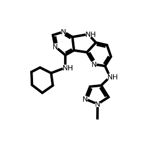 Cn1cc(Nc2ccc3[nH]c4ncnc(NC5CCCCC5)c4c3n2)cn1